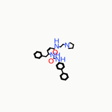 O=C(/C=C\C(Cc1ccccc1)NC(=O)Nc1ccc(-c2ccccc2)cc1)NCCN1CCCC1